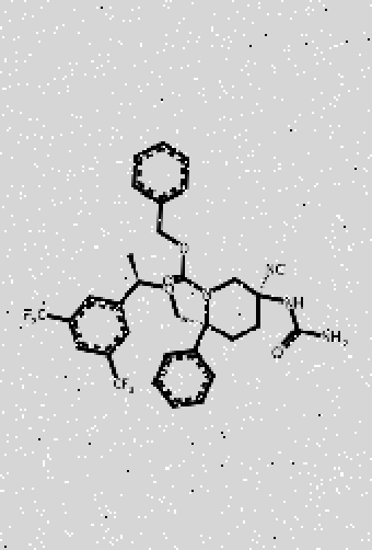 [C-]#[N+][C@]1(NC(N)=O)CC[C@@](CO[C@H](C)c2cc(C(F)(F)F)cc(C(F)(F)F)c2)(c2ccccc2)N(C(=O)OCc2ccccc2)C1